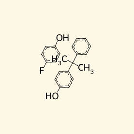 CC(C)(c1ccccc1)c1ccc(O)cc1.Oc1ccc(F)cc1